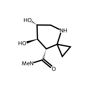 CNC(=O)[C@@H]1[C@@H](O)[C@H](O)CNC12CC2